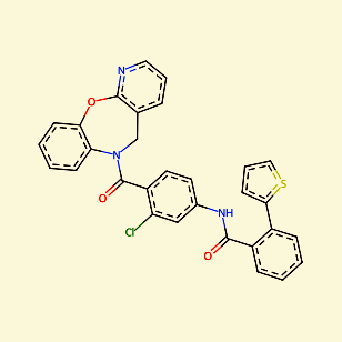 O=C(Nc1ccc(C(=O)N2Cc3cccnc3Oc3ccccc32)c(Cl)c1)c1ccccc1-c1cccs1